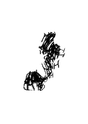 C=CC(=O)N1CCN(c2nc(NCCC(=O)NCCNC(=O)CCC[C@@H](C)[C@@H](O)CC(=O)N[C@@H](CC)C(=O)N(C)CC(=O)N(C)[C@@H](CC(C)C)C(=O)NC(C(=O)N(C)[C@@H](CC(C)C)C(=O)N[C@@H](C)C(=O)N[C@H](C)C(=O)N(C)[C@@H](CC(C)C)C(=O)N(C)[C@@H](CC(C)C)C(=O)N(C)C(C(=O)NC)C(C)C)C(C)C)nc3c(F)c(-c4c(O)cccc4F)c(Cl)cc23)CC1